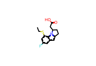 CCSc1cc(F)cc2cc3n(c12)C(CC(=O)O)CC3